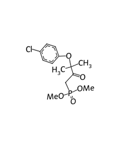 COP(=O)(CC(=O)C(C)(C)Oc1ccc(Cl)cc1)OC